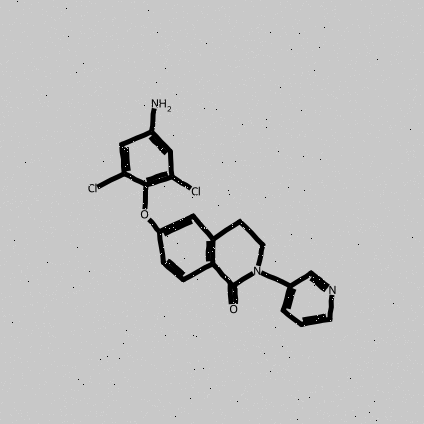 Nc1cc(Cl)c(Oc2ccc3c(c2)CCN(c2cccnc2)C3=O)c(Cl)c1